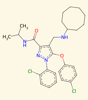 CC(C)NC(=O)c1nn(-c2ccccc2Cl)c(Oc2ccc(Cl)cc2)c1CNC1CCCCCCC1